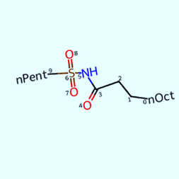 CCCCCCCCCCC(=O)NS(=O)(=O)CCCCC